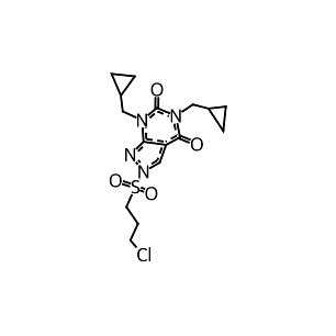 O=c1c2cn(S(=O)(=O)CCCCl)nc2n(CC2CC2)c(=O)n1CC1CC1